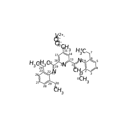 CCc1cccc(CC)c1N=C(C)c1cc(C)cc(C(C)=Nc2c(CC)cccc2CC)n1.[Cl-].[Cl-].[V+2]